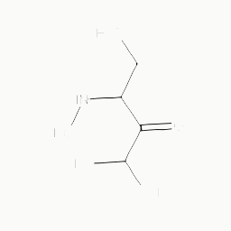 CCC(NC)C(=O)C(C)C